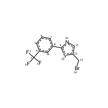 FC(F)(F)c1cccc(-c2ncc(CBr)s2)c1